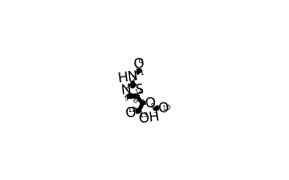 O=CNc1ncc(C(OC=O)C(=O)O)s1